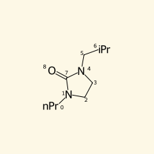 CCCN1CCN(CC(C)C)C1=O